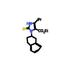 CCOC(=O)c1c(C(C)C)[nH]c(=S)n1C1CCc2ccccc2C1